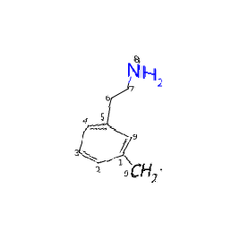 [CH2]c1cccc(CCN)c1